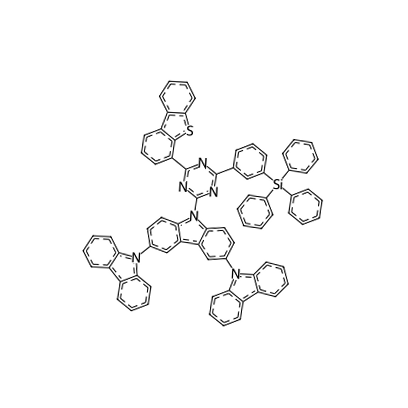 c1ccc([Si](c2ccccc2)(c2ccccc2)c2cccc(-c3nc(-c4cccc5c4sc4ccccc45)nc(-n4c5ccc(-n6c7ccccc7c7ccccc76)cc5c5cc(-n6c7ccccc7c7ccccc76)ccc54)n3)c2)cc1